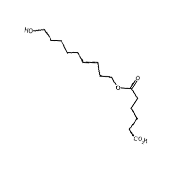 O=C(O)CCCCC(=O)OCCCCCCCCCO